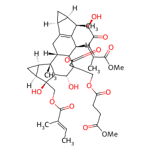 C/C=C(\C)C(=O)OC[C@@]1(O)C2[C@@H](O)C3=C(COC(=O)CCC(=O)OC)C(=O)O[C@@]34[C@@H]3C5=C(C[C@H]4[C@@]2(C)[C@@H]2C[C@@H]21)[C@H]1C[C@H]1[C@]5(C)[C@@H](O)C(=O)/C3=C(/C)C(=O)OC